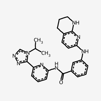 CC(C)n1cnnc1-c1cccc(NC(=O)c2cccc(Nc3ccc4c(n3)NCCC4)c2)n1